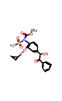 CC(C)(C)OC(=O)N(c1ccc(C(O)C(=O)c2ccccc2)cc1OCC1CC1)S(C)(=O)=O